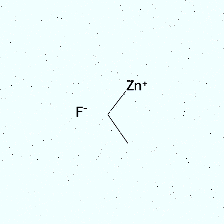 C[CH2][Zn+].[F-]